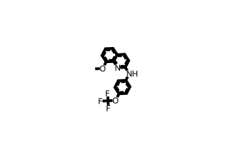 COc1cccc2ccc(Nc3ccc(OC(F)(F)F)cc3)nc12